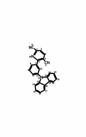 N#Cc1ccc(C#N)c(-c2cccc(-n3c4ccccc4c4ccccc43)c2)n1